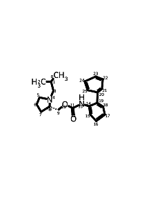 CC(C)CN1CCC[C@H]1COC(=O)Nc1ccccc1-c1ccccc1